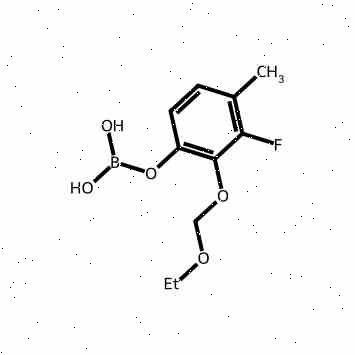 CCOCOc1c(OB(O)O)ccc(C)c1F